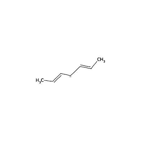 CC=C[C]C=CC